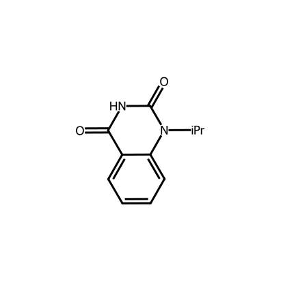 CC(C)n1c(=O)[nH]c(=O)c2ccccc21